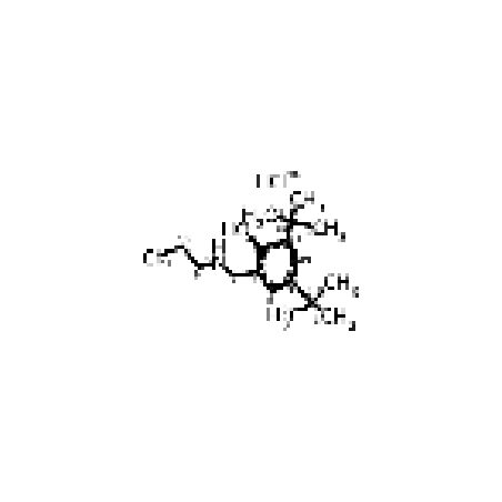 CC(C)(C)c1cc(CNCCCl)c(O)c(C(C)(C)C)c1.Cl